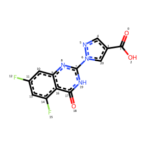 O=C(O)c1cnn(-c2nc3cc(F)cc(F)c3c(=O)[nH]2)c1